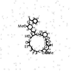 CCC1/C=C(\C)C(F)C(C)CC(OC)C2OC(O)(C(=O)C(=O)N3CCCCC3C(=O)OC(C(C)=CC3CCC(OC(C)c4ccccc4)C(OC)C3)C(C)C(O)CC1=O)C(C)CC2OC